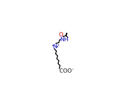 C=C(C)C(=O)NCCC[N+](C)(C)CCCCCCCCCC(=O)[O-]